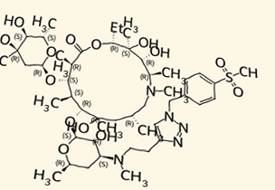 CC[C@H]1OC(=O)[C@H](C)[C@@H](O[C@H]2C[C@@](C)(OC)[C@@H](O)[C@H](C)O2)[C@H](C)[C@@H](O[C@@H]2O[C@H](C)C[C@H](N(C)CCc3cn(Cc4ccc(S(C)(=O)=O)cc4)nn3)[C@H]2O)[C@](C)(O)C[C@@H](C)CN(C)[C@H](C)[C@@H](O)[C@]1(C)O